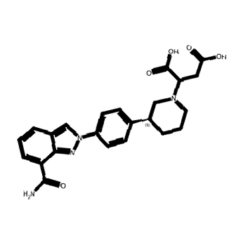 NC(=O)c1cccc2cn(-c3ccc([C@@H]4CCCN(C(CC(=O)O)C(=O)O)C4)cc3)nc12